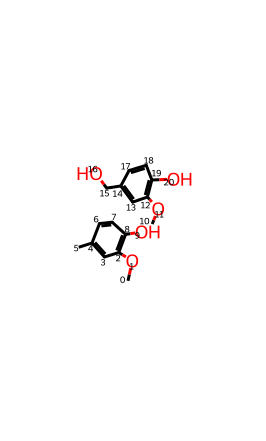 COc1cc(C)ccc1O.COc1cc(CO)ccc1O